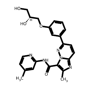 Cc1ccnc(NC(=O)c2c(C)nc3ccc(-c4cccc(OC[C@H](O)CO)c4)nn23)c1